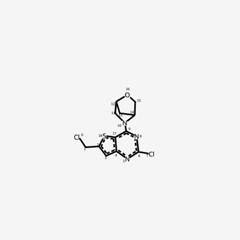 ClCc1cc2nc(Cl)nc(N3CC4CC3CO4)c2s1